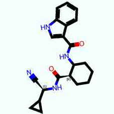 N#C[C@@H](NC(=O)[C@@H]1CCCCC1NC(=O)c1c[nH]c2ccccc12)C1CC1